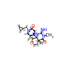 CN1C(=N)NC2(c3cc(=O)n(CC4CC4)cc3F)COCC[C@H]2C1=O